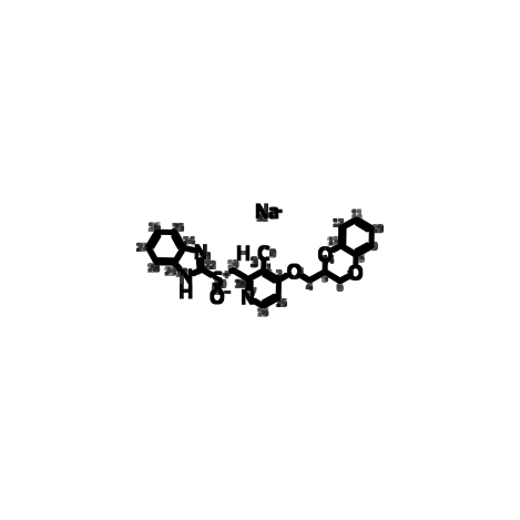 Cc1c(OCC2COc3ccccc3O2)ccnc1C[S+]([O-])c1nc2ccccc2[nH]1.[Na]